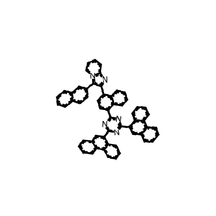 c1ccc2cc(-c3c(-c4ccc(-c5nc(-c6cc7ccccc7c7ccccc67)nc(-c6cc7ccccc7c7ccccc67)n5)c5ccccc45)nc4ccccn34)ccc2c1